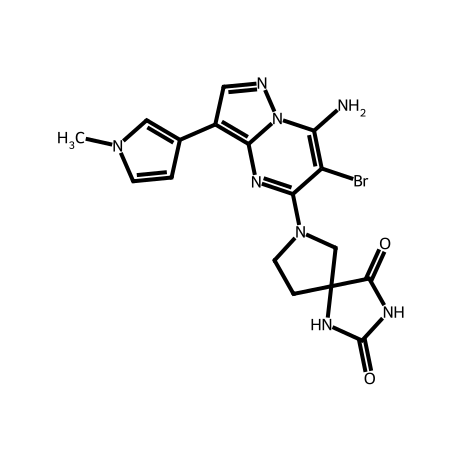 Cn1ccc(-c2cnn3c(N)c(Br)c(N4CCC5(C4)NC(=O)NC5=O)nc23)c1